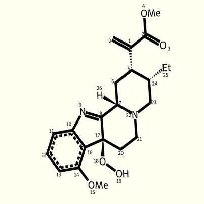 C=C(C(=O)OC)[C@H]1C[C@H]2C3=Nc4cccc(OC)c4[C@@]3(OO)CCN2C[C@H]1CC